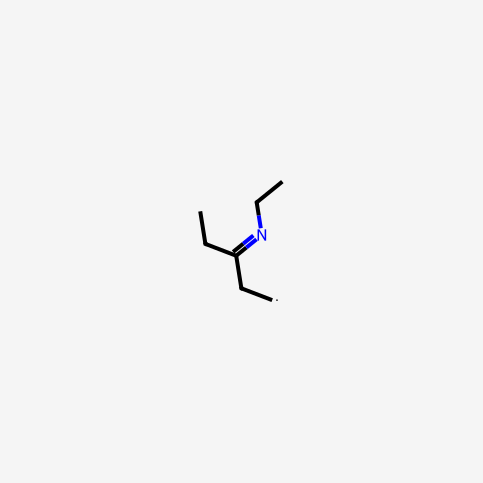 [CH2]CC(CC)=NCC